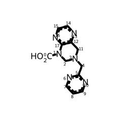 O=C(O)N1CN(Cc2ncccn2)Cc2nccnc21